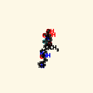 Cc1cc(-c2ccnc(NC(=O)C3CC3c3cccnc3)c2)ccc1OC1CCN(C(=O)C(O)CO)CC1(F)F